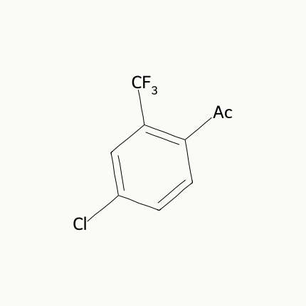 CC(=O)c1ccc(Cl)cc1C(F)(F)F